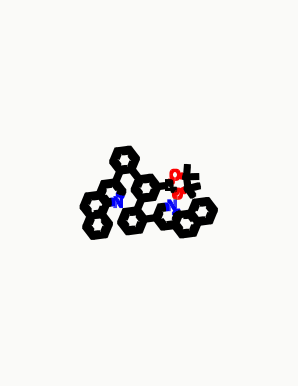 CC1(C)OB(c2cc(-c3ccccc3-c3cnc4c(ccc5ccccc54)c3)cc(-c3ccccc3-c3cnc4c(ccc5ccccc54)c3)c2)OC1(C)C